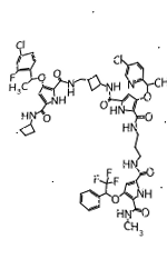 CNC(=O)c1[nH]c(C(=O)NCCCNC(=O)c2[nH]c(C(=O)NC3CC(CNC(=O)c4[nH]c(C(=O)NC5CCC5)cc4OC(C)c4ccc(Cl)cc4F)C3)cc2OC(C)c2ccc(Cl)cn2)cc1OC(c1ccccc1)C(F)(F)F